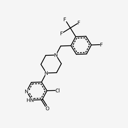 O=c1[nH]ncc(N2CCN(Cc3ccc(F)cc3C(F)(F)F)CC2)c1Cl